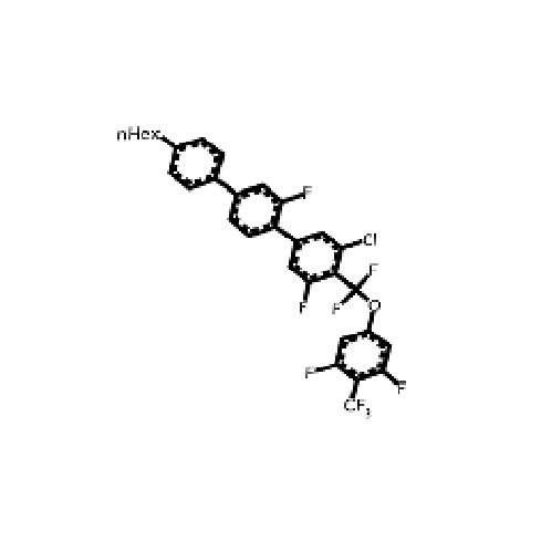 CCCCCCc1ccc(-c2ccc(-c3cc(F)c(C(F)(F)Oc4cc(F)c(C(F)(F)F)c(F)c4)c(Cl)c3)c(F)c2)cc1